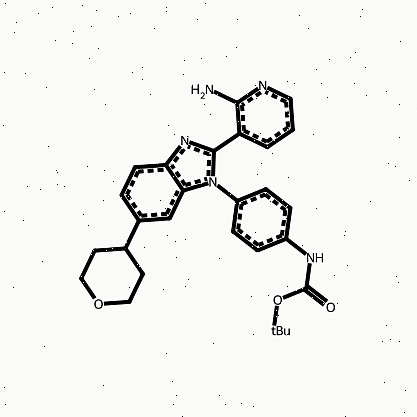 CC(C)(C)OC(=O)Nc1ccc(-n2c(-c3cccnc3N)nc3ccc(C4CCOCC4)cc32)cc1